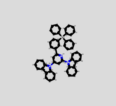 c1ccc([Si](c2ccccc2)(c2ccccc2)c2cccc(-c3cc(-n4c5ccccc5c5ccccc54)cc(-n4c5ccccc5c5ccccc54)n3)c2)cc1